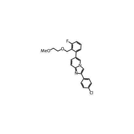 COCCOCc1c(F)cccc1-c1ccc2nc(-c3ccc(Cl)cc3)cn2c1